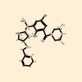 C[C@@H]1CN(C(=O)c2cc(Br)cc(N(C)O)c2N[C@H]2CNC[C@@H]2OCC2=NCCC=C2)C[C@H](C)O1